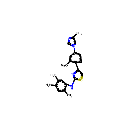 COc1cc(-n2cnc(C)c2)ccc1-c1csc(Nc2cc(C)c(C)cc2C)n1